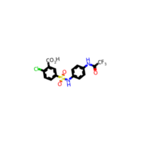 O=C(O)c1cc(S(=O)(=O)Nc2ccc(NC(=O)C(F)(F)F)cc2)ccc1Cl